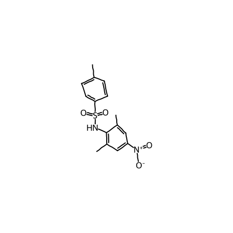 Cc1ccc(S(=O)(=O)Nc2c(C)cc([N+](=O)[O-])cc2C)cc1